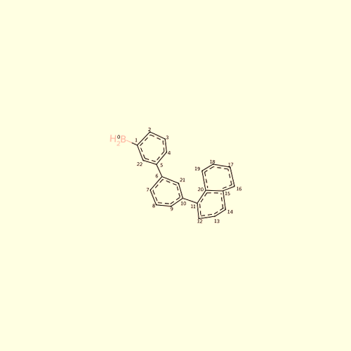 Bc1cccc(-c2cccc(-c3cccc4ccccc34)c2)c1